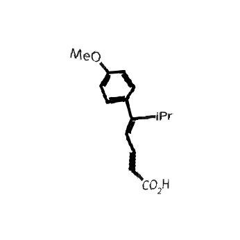 COc1ccc(/C(=C/C=C/C(=O)O)C(C)C)cc1